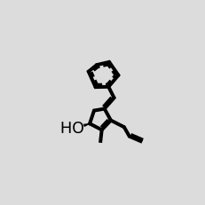 C=CCC1=C(C)[C@@H](O)C/C1=C\c1ccccc1